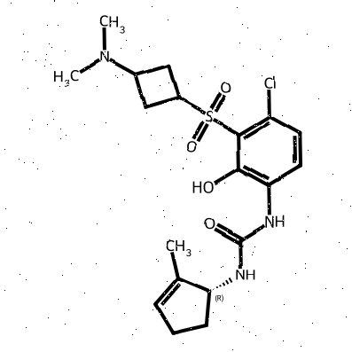 CC1=CCC[C@H]1NC(=O)Nc1ccc(Cl)c(S(=O)(=O)C2CC(N(C)C)C2)c1O